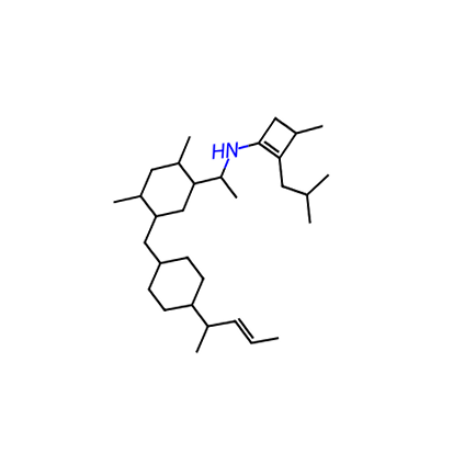 C/C=C/C(C)C1CCC(CC2CC(C(C)NC3=C(CC(C)C)C(C)C3)C(C)CC2C)CC1